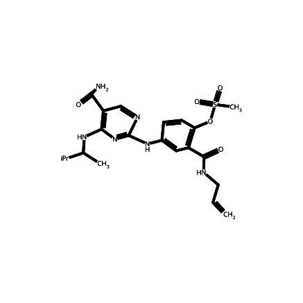 C=CCNC(=O)c1cc(Nc2ncc(C(N)=O)c(NC(C)C(C)C)n2)ccc1OS(C)(=O)=O